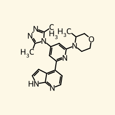 Cc1nnc(C)n1-c1cc(-c2ccnc3[nH]ccc23)nc(N2CCOCC2C)c1